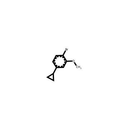 COc1cc(C2CC2)ccc1Br